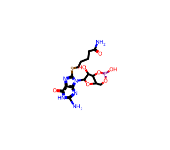 NC(=O)CCCCSc1nc2c(=O)[nH]c(N)nc2n1C1OC2COP(O)OC2C1O